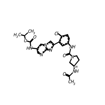 CC(=O)N[C@@H]1CCN(C(=O)Nc2ccc(Cl)c(-c3cn4cc(NC(=O)OC(C)C)cnc4n3)c2)C1